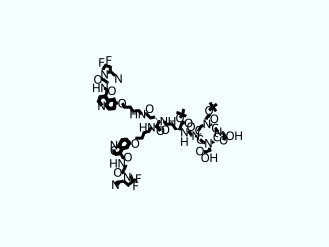 CC(C)(C)OC(=O)CN1CCN(CC(=O)O)CCN(CC(=O)O)CCN(CC(=O)N[C@@H](CCC(=O)N[C@@H](CCC(=O)NCCCCOc2ccc3nccc(C(=O)NCC(=O)N4CC(F)(F)CC4C#N)c3c2)C(=O)NCCCCOc2ccc3nccc(C(=O)NCC(=O)N4CC(F)(F)CC4C#N)c3c2)C(=O)OC(C)(C)C)CC1